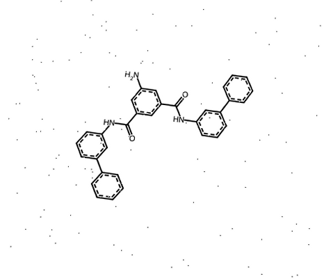 Nc1cc(C(=O)Nc2cccc(-c3ccccc3)c2)cc(C(=O)Nc2cccc(-c3ccccc3)c2)c1